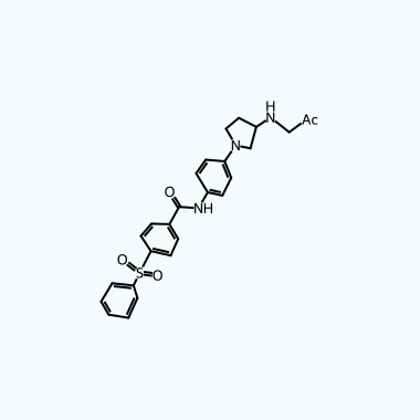 CC(=O)CNC1CCN(c2ccc(NC(=O)c3ccc(S(=O)(=O)c4ccccc4)cc3)cc2)C1